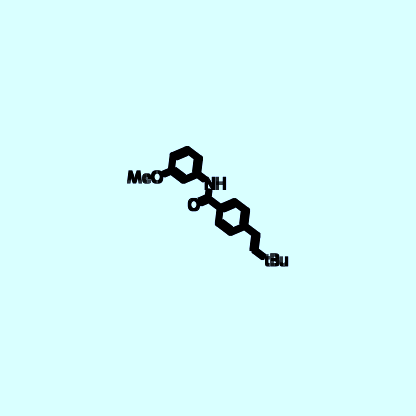 COc1cccc(NC(=O)c2ccc(C=CC(C)(C)C)cc2)c1